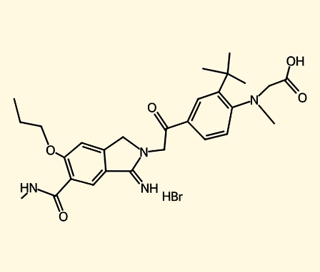 Br.CCCOc1cc2c(cc1C(=O)NC)C(=N)N(CC(=O)c1ccc(N(C)CC(=O)O)c(C(C)(C)C)c1)C2